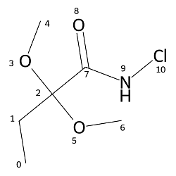 CCC(OC)(OC)C(=O)NCl